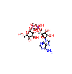 Nc1ncnc2c1ncn2[C@@H]1O[C@H](COP(=O)(O)OP(=O)(O)O[C@@H]2OC(CO)[C@@H](O)[C@H](O)C2O)C(O)[C@@H]1O